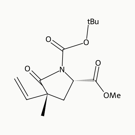 C=C[C@@]1(C)C[C@@H](C(=O)OC)N(C(=O)OC(C)(C)C)C1=O